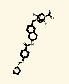 CC(=O)N1C[C@@H]2C[C@H]1CN2Cc1ccc2c(c1)CC[C@H](NC(=O)c1ccc(OC[C@@H]3CCCO3)cc1)C2